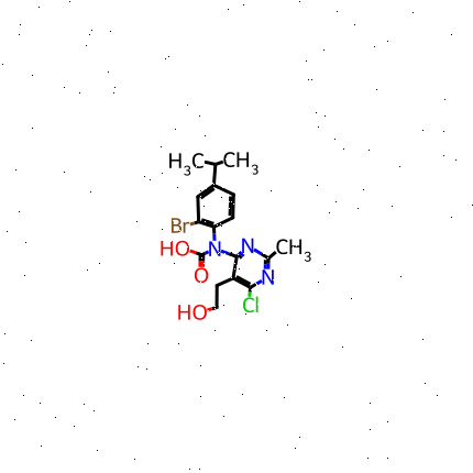 Cc1nc(Cl)c(CCO)c(N(C(=O)O)c2ccc(C(C)C)cc2Br)n1